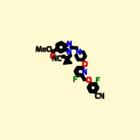 COC(=O)c1ccc2nc(CN3CCC(Oc4ccc(F)c(COc5ccc(C#N)cc5F)n4)CC3)n(CC3(CC#N)CC3)c2c1